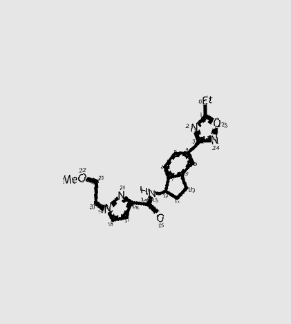 CCc1nc(-c2ccc3c(c2)CCC3NC(=O)c2ccn(CCOC)n2)no1